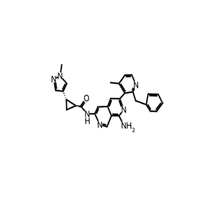 Cc1ccnc(Cc2ccccc2)c1-c1cc2cc(NC(=O)[C@H]3C[C@@H]3c3cnn(C)c3)ncc2c(N)n1